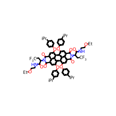 CCOCCNC(=O)C(CC(F)(F)F)N1C(=O)c2cc(Oc3ccc(C(C)C)cc3)c3c4c(Oc5ccc(C(C)C)cc5)cc5c6c(cc(Oc7ccc(C(C)C)cc7)c(c7c(Oc8ccc(C(C)C)cc8)cc(c2c37)C1=O)c64)C(=O)N(C(CC(F)(F)F)C(=O)NCCOCC)C5=O